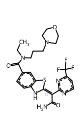 CCN(CCCN1CCOCC1)C(=O)c1ccc2c(c1)S/C(=C(/C(N)=O)c1nccc(C(F)(F)F)n1)N2